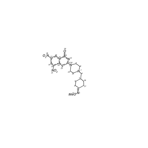 CON=C1CCC(CN2CCN(c3nc(=O)c4cc([N+](=O)[O-])cc([N+](=O)[O-])c4s3)CC2)CC1